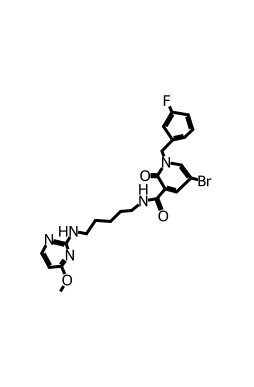 COc1ccnc(NCCCCCNC(=O)c2cc(Br)cn(Cc3cccc(F)c3)c2=O)n1